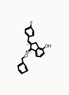 Oc1cccc2c1CC(=C\c1ccc(F)cc1)/C2=N/OCc1ccccc1